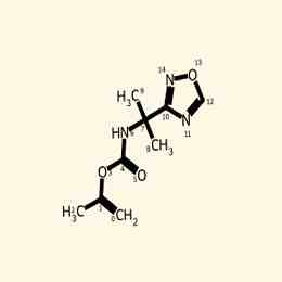 C=C(C)OC(=O)NC(C)(C)c1ncon1